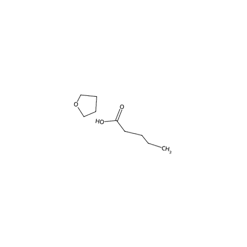 C1CCOC1.CCCCC(=O)O